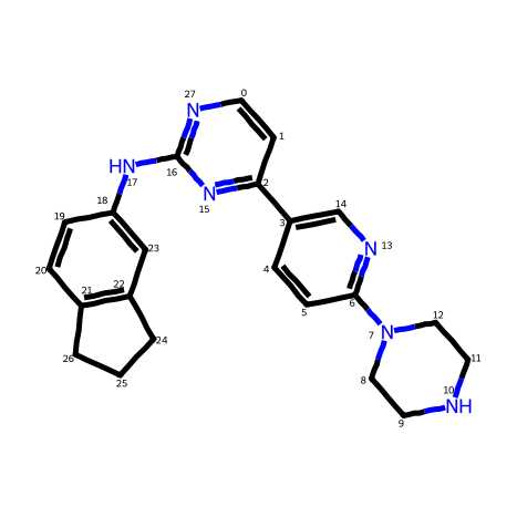 c1cc(-c2ccc(N3CCNCC3)nc2)nc(Nc2ccc3c(c2)CCC3)n1